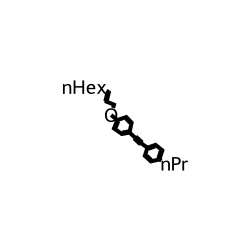 CCCCCCC=CCOc1ccc(C#Cc2ccc(CCC)cc2)cc1